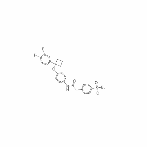 CCS(=O)(=O)c1ccc(CC(=O)Nc2ccc(OC3(c4ccc(F)c(F)c4)CCC3)cc2)cc1